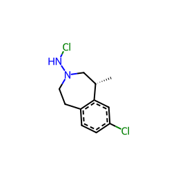 C[C@H]1CN(NCl)CCc2ccc(Cl)cc21